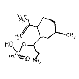 C=C(C)C1CCC(C)CC1C(CN)OP(=O)(O)S